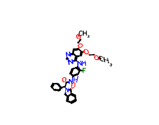 COCCOc1cc2ncnc(Nc3ccc(NC(=O)C(c4ccccc4)N4Cc5ccccc5C4=O)cc3F)c2cc1OCCOC